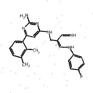 Cc1cccc(-c2cc(NC/C(C=N)=C/Nc3ccc(F)cc3)nc(N)n2)c1C